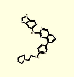 c1cc(-c2ccc(NCCN3CCCC3)nc2)c2nc(Nc3ccc4[nH]cnc4c3)ncc2c1